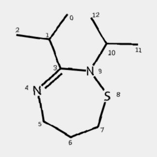 CC(C)C1=NCCCSN1C(C)C